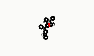 CCCc1ccc(N(C2C=CC=CC2)C2C=CC3C4=C(CCCC4)OC3C2)cc1-c1c(C)cccc1N(c1ccccc1)c1ccccc1